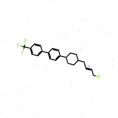 FC/C=C/CC1CCC(c2ccc(-c3ccc(C(F)(F)F)cc3)cc2)CC1